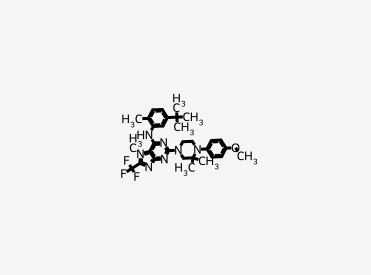 COc1ccc(N2CCN(c3nc(Nc4cc(C(C)(C)C)ccc4C)c4c(n3)nc(C(F)(F)F)n4C)CC2(C)C)cc1